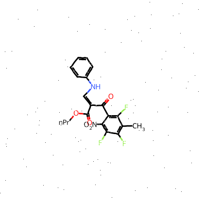 CCCOC(=O)C(=CNc1ccccc1)C(=O)c1c(F)c(C)c(F)c(F)c1[N+](=O)[O-]